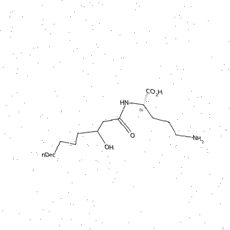 CCCCCCCCCCCCCC(O)CC(=O)N[C@@H](CCCN)C(=O)O